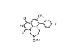 CON1CSc2c(-c3ccc(F)cc3)c(C(F)(F)F)cc3c(=O)[nH]c(=O)n(c23)C1